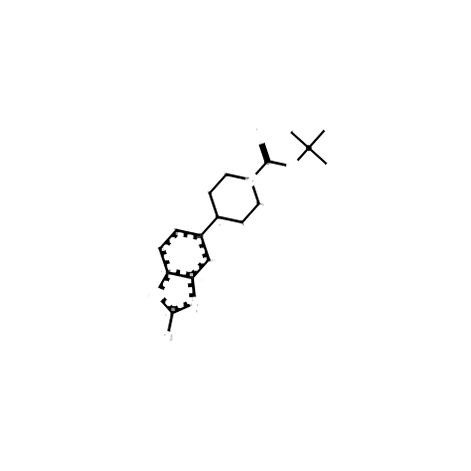 CC(C)(C)OC(=O)N1CCC(c2ccc3oc(N)nc3c2)CC1